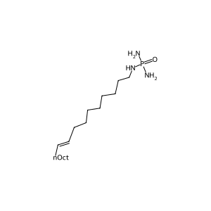 CCCCCCCCC=CCCCCCCCCNP(N)(N)=O